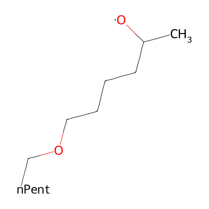 CCCCCCOCCCCC(C)[O]